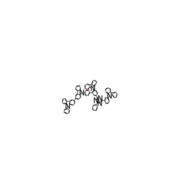 c1ccc(-c2nc(-c3cccc(-n4c5ccccc5c5ccccc54)c3)nc(-c3ccc(-n4c5ccccc5c5ccccc54)c(-c4ccc(-n5c6ccccc6c6cc(-c7ccc8c(c7)c7ccccc7n8-c7ccccc7)ccc65)cc4)c3)n2)cc1